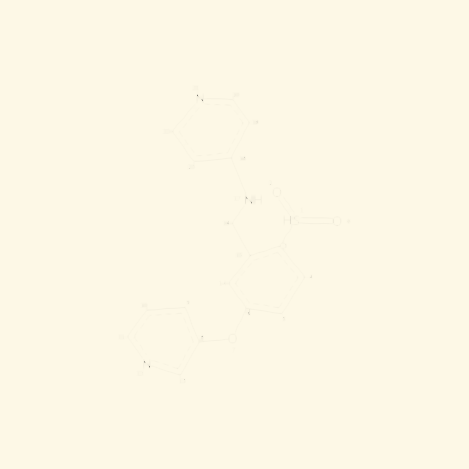 O=[SH](=O)c1ccc(Oc2cccnc2)cc1CNc1ccncc1